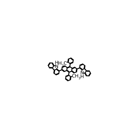 Cc1ccccc1-c1c2ccc(-c3cccc4c3[nH]c3ccccc34)cc2c(-c2ccccc2C)c2ccc(-c3cccc4c3[nH]c3ccccc34)cc12